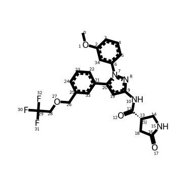 COc1cccc(-n2nc(NC(=O)[C@@H]3CNC(=O)C3)cc2-c2cccc(COCC(F)(F)F)c2)c1